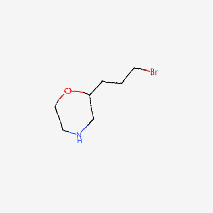 BrCCCC1CNCCO1